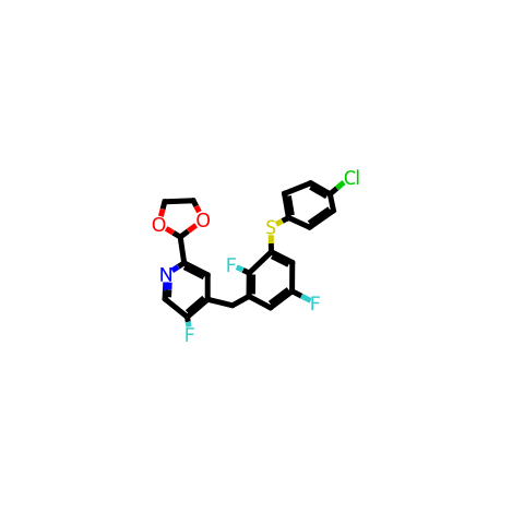 Fc1cc(Cc2cc(C3OCCO3)ncc2F)c(F)c(Sc2ccc(Cl)cc2)c1